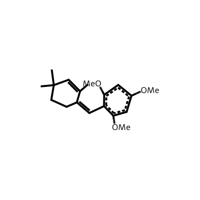 COc1cc(OC)c(/C=C2/CCC(C)(C)C=C2C)c(OC)c1